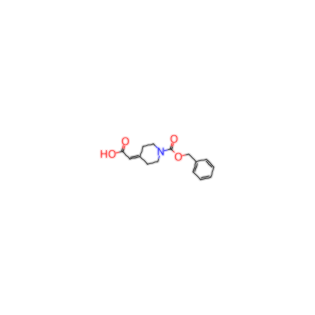 O=C(O)C=C1CCN(C(=O)OCc2ccccc2)CC1